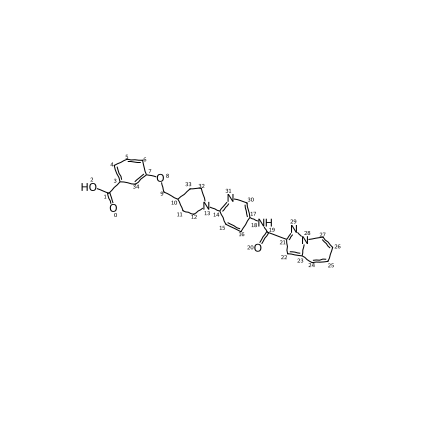 O=C(O)c1cccc(OCC2CCN(c3ccc(NC(=O)c4cc5ccccn5n4)cn3)CC2)c1